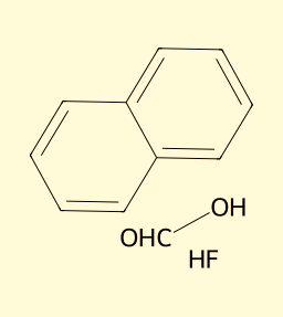 F.O=CO.c1ccc2ccccc2c1